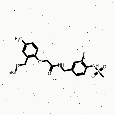 CCCCOCc1cc(C(F)(F)F)ccc1OCC(=O)NCc1ccc(NS(C)(=O)=O)c(F)c1